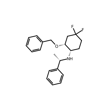 C[C@H](N[C@H]1CCC(F)(F)C[C@H]1OCc1ccccc1)c1ccccc1